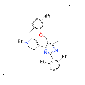 CCc1cccc(CC)c1-c1nc(C)c(COc2cc(C(C)C)ccc2C)c(C2=CCN(CC)CC2)n1